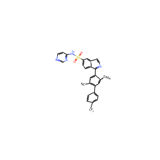 COc1cc(-c2ccc(C(F)(F)F)cc2)c(C#N)cc1-c1nccc2cc(S(=O)(=O)Nc3ccncn3)ccc12